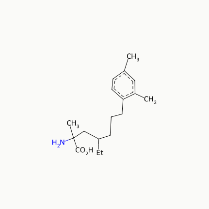 CCC(CCCc1ccc(C)cc1C)CC(C)(N)C(=O)O